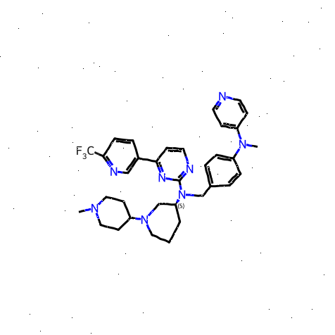 CN1CCC(N2CCC[C@H](N(Cc3ccc(N(C)c4ccncc4)cc3)c3nccc(-c4ccc(C(F)(F)F)nc4)n3)C2)CC1